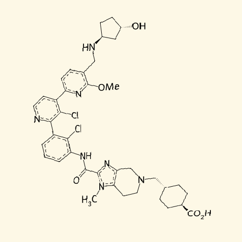 COc1nc(-c2ccnc(-c3cccc(NC(=O)c4nc5c(n4C)CCN(C[C@H]4CC[C@H](C(=O)O)CC4)C5)c3Cl)c2Cl)ccc1CN[C@H]1CC[C@H](O)C1